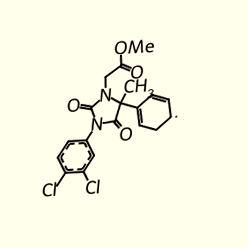 COC(=O)CN1C(=O)N(c2ccc(Cl)c(Cl)c2)C(=O)C1(C)C1=CC[CH]C=C1